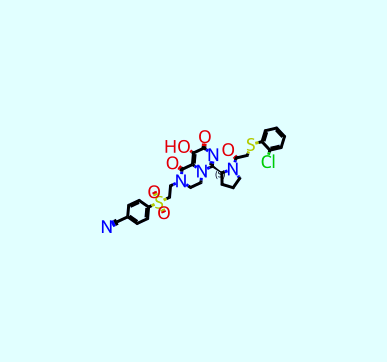 N#Cc1ccc(S(=O)(=O)CCN2CCn3c([C@@H]4CCCN4C(=O)CSc4ccccc4Cl)nc(=O)c(O)c3C2=O)cc1